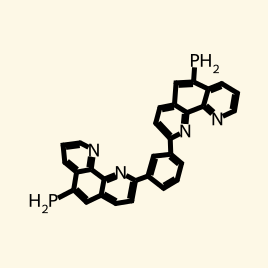 Pc1cc2ccc(-c3cccc(-c4ccc5cc(P)c6cccnc6c5n4)c3)nc2c2ncccc12